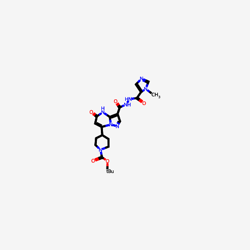 Cn1cncc1C(=O)NNC(=O)c1cnn2c(C3CCN(C(=O)OC(C)(C)C)CC3)cc(=O)[nH]c12